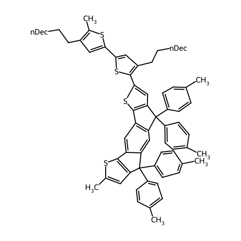 CCCCCCCCCCCCc1cc(-c2cc(CCCCCCCCCCCC)c(-c3cc4c(s3)-c3cc5c(cc3C4(c3ccc(C)cc3)c3ccc(C)cc3)C(c3ccc(C)cc3)(c3ccc(C)cc3)c3cc(C)sc3-5)s2)sc1C